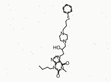 CCCCn1c(=O)n(C)c(=O)c2c1ncn2CC(O)CN1CCN(CCCSc2ccccc2)CC1